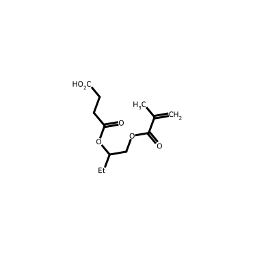 C=C(C)C(=O)OCC(CC)OC(=O)CCC(=O)O